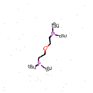 CC(C)(C)P(CCOCCP(C(C)(C)C)C(C)(C)C)C(C)(C)C